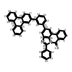 S=c1c2ccccc2c2cc(-c3cccc(-c4ccc5c6ccccc6c6ccccc6c5c4)c3)cc3nc(-c4ccccc4)n1c32